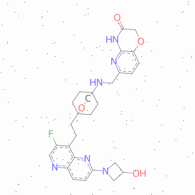 O=C1COc2ccc(CNC34CCC(CCc5c(F)cnc6ccc(N7CC(O)C7)nc56)(CC3)OC4)nc2N1